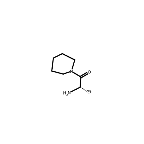 CC[C@H](N)C(=O)N1CCCCC1